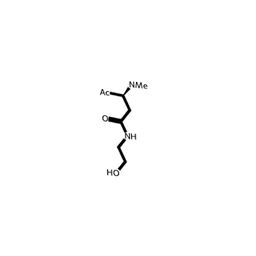 CN[C@@H](CC(=O)NCCO)C(C)=O